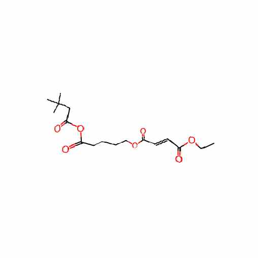 CCOC(=O)C=CC(=O)OCCCCC(=O)OC(=O)CC(C)(C)C